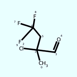 CC(Cl)(C=O)CC(F)(F)F